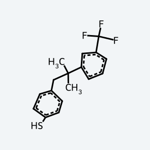 CC(C)(Cc1ccc(S)cc1)c1cccc(C(F)(F)F)c1